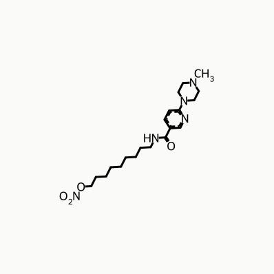 CN1CCN(c2ccc(C(=O)NCCCCCCCCCO[N+](=O)[O-])cn2)CC1